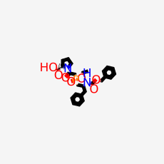 CCOP(=O)(CC(=O)N1CCC[C@H]1C(=O)O)CC(Cc1ccccc1)NC(=O)OCc1ccccc1